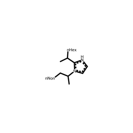 CCCCCCCCCCC(C)[n+]1cc[nH]c1C(C)CCCCCC